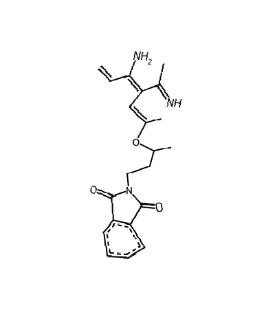 C=C/C(N)=C(\C=C(/C)OC(C)CCN1C(=O)c2ccccc2C1=O)C(C)=N